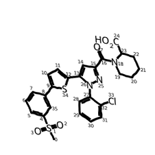 CS(=O)(=O)c1cccc(-c2ccc(-c3cc(C(=O)N4CCCCC4C(=O)O)nn3-c3ccccc3Cl)s2)c1